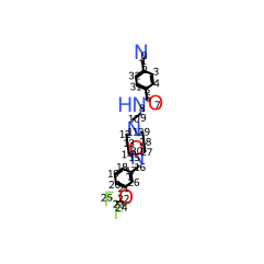 N#Cc1ccc(C(=O)NCCN2CC3CN(Cc4cccc(OC(F)F)c4)CC(C2)O3)cc1